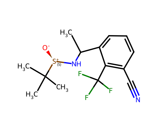 CC(N[S@+]([O-])C(C)(C)C)c1cccc(C#N)c1C(F)(F)F